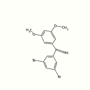 COc1cc(OC)cc(C(=N)c2cc(Br)cc(Br)c2)c1